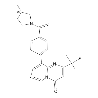 C=C(c1ccc(-c2cccn3c(=O)cc(C(C)(C)F)nc23)cc1)N1CC[C@H](C)C1